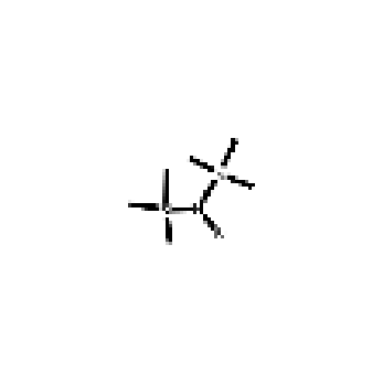 [B]N([Si](C)(C)C)[Si](C)(C)C